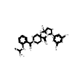 CC(F)Oc1ccccc1C(=O)N1CCC2(CC1)O[C@@H]1CC[C@@H](c3cc(F)cc(F)c3)N1C2=O